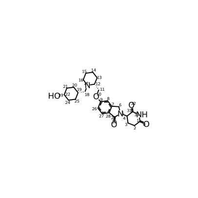 O=C1CCC(N2Cc3cc(OC[C@H]4CCCCN4C[C@H]4CC[C@@H](O)CC4)ccc3C2=O)C(=O)N1